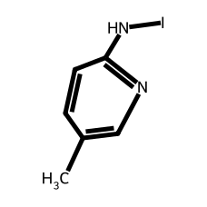 Cc1ccc(NI)nc1